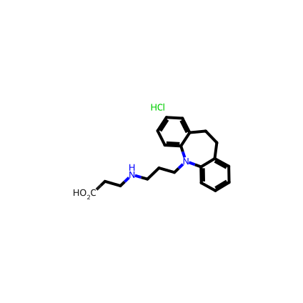 Cl.O=C(O)CCNCCCN1c2ccccc2CCc2ccccc21